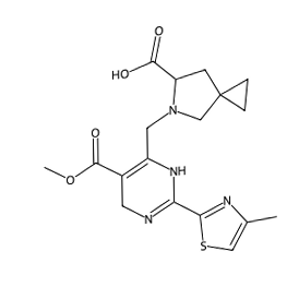 COC(=O)C1=C(CN2CC3(CC3)CC2C(=O)O)NC(c2nc(C)cs2)=NC1